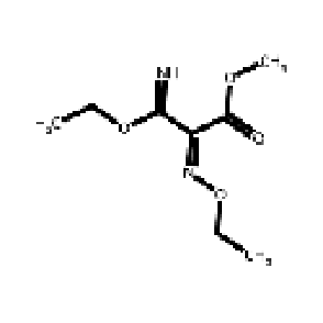 CCON=C(C(=N)OCC)C(=O)OC